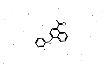 CC(=O)c1ccc(Sc2ccccc2)c2ccccc12